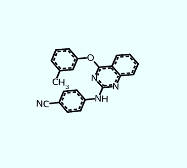 Cc1cccc(Oc2nc(Nc3ccc(C#N)cc3)nc3ccccc23)c1